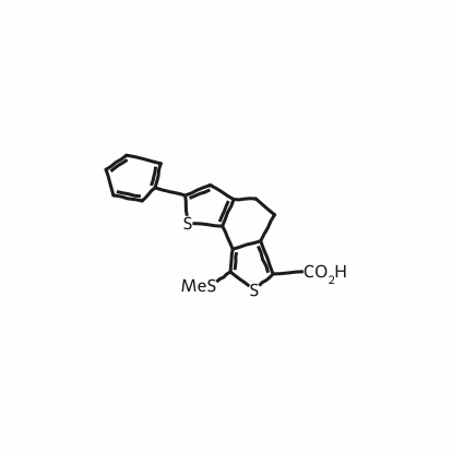 CSc1sc(C(=O)O)c2c1-c1sc(-c3ccccc3)cc1CC2